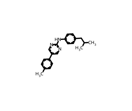 Cc1ccc(-c2cnc(Nc3ccc(CC(C)C)cc3)nc2)cc1